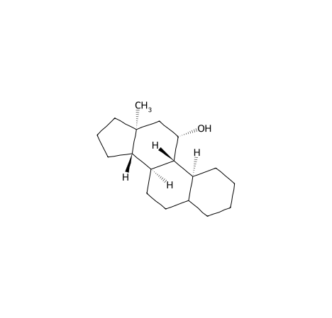 C[C@@]12CCC[C@H]1[C@@H]1CCC3CCCC[C@@H]3[C@H]1[C@@H](O)C2